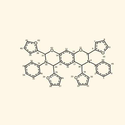 c1ccc(N2C(c3ccco3)Oc3cc4c(cc3C2c2ccco2)C(c2ccco2)N(c2ccccc2)C(c2ccco2)O4)cc1